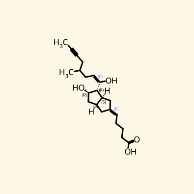 CC#CCC(C)C/C=C(/O)[C@@H]1[C@H]2C/C(=C/CCCC(=O)O)C[C@H]2C[C@H]1O